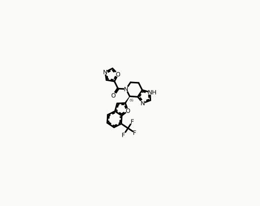 O=C(c1cnco1)N1CCc2[nH]cnc2[C@H]1c1cc2cccc(C(F)(F)F)c2o1